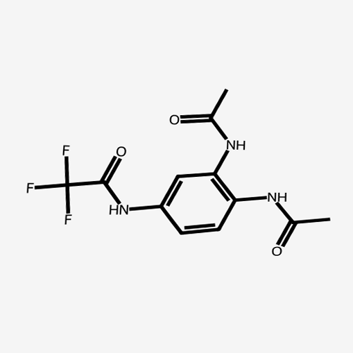 CC(=O)Nc1ccc(NC(=O)C(F)(F)F)cc1NC(C)=O